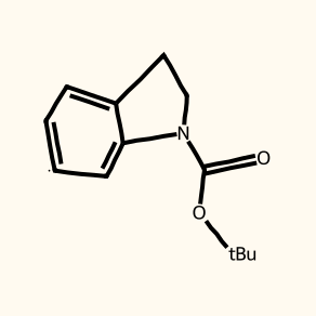 CC(C)(C)OC(=O)N1CCc2cc[c]cc21